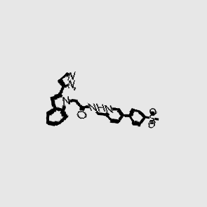 Cn1nccc1-c1cc2ccccc2n1CC(=O)NCc1ccc(-c2ccc(S(C)(=O)=O)cc2)cn1